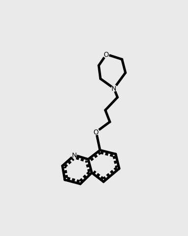 c1cnc2c(OCCCN3CCOCC3)cccc2c1